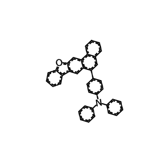 c1ccc(N(c2ccccc2)c2ccc(-c3cc4ccccc4c4cc5oc6ccccc6c5cc34)cc2)cc1